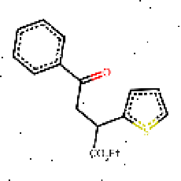 CCOC(=O)C(CC(=O)c1ccccc1)c1cccs1